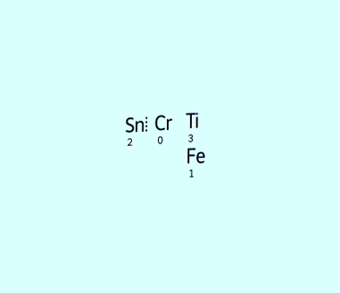 [Cr].[Fe].[Sn].[Ti]